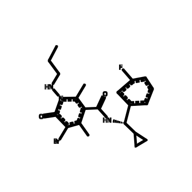 CCCNn1c(C)c(C(=O)N[C@H](c2cccc(F)c2)C2CC2)c(C)c(Br)c1=O